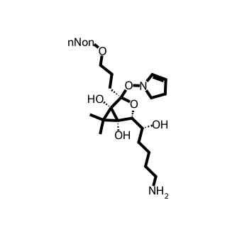 CCCCCCCCCOCCC[C@]1(ON2C=CCC2)O[C@H]([C@H](O)CCCCN)[C@@]2(O)C(C)(C)[C@@]12O